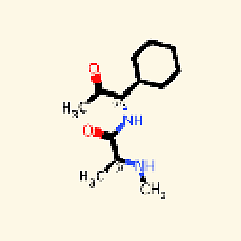 CN[C@@H](C)C(=O)N[C@H](C(C)=O)C1CCCCC1